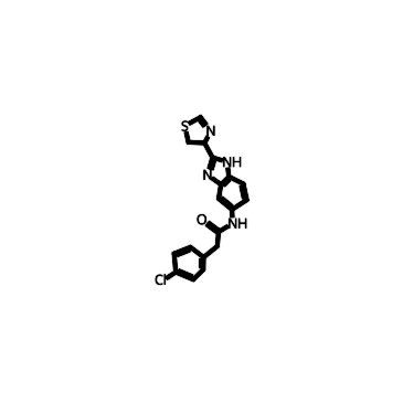 O=C(Cc1ccc(Cl)cc1)Nc1ccc2[nH]c(C3CSC=N3)nc2c1